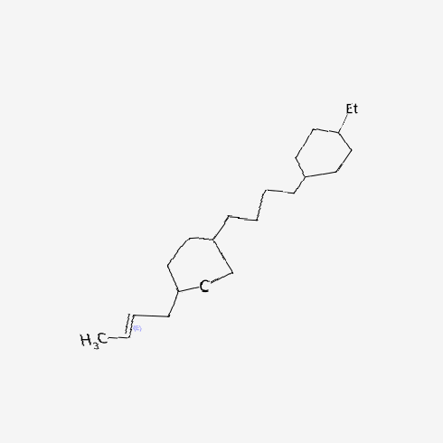 C/C=C/CC1CCC(CCCCC2CCC(CC)CC2)CC1